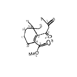 C=C(C)C(=O)C1=C(C(=O)OC)CCCC1(C)C